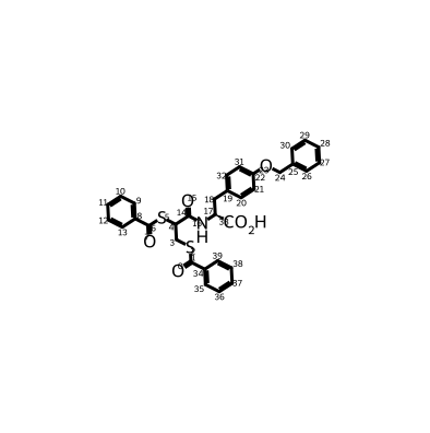 O=C(SCC(SC(=O)c1ccccc1)C(=O)N[C@@H](Cc1ccc(OCc2ccccc2)cc1)C(=O)O)c1ccccc1